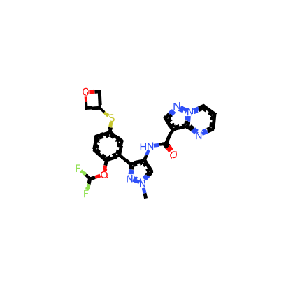 Cn1cc(NC(=O)c2cnn3cccnc23)c(-c2cc(SC3COC3)ccc2OC(F)F)n1